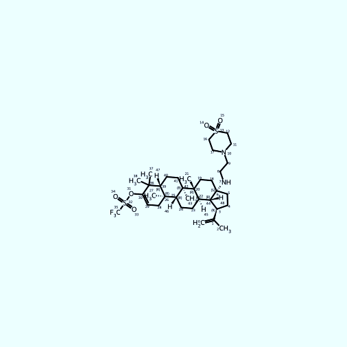 C=C(C)[C@@H]1CC[C@]2(NCCN3CCS(=O)(=O)CC3)CC[C@]3(C)[C@H](CC[C@@H]4[C@@]5(C)CC=C(OS(=O)(=O)C(F)(F)F)C(C)(C)[C@@H]5CC[C@]43C)[C@@H]12